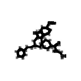 COc1ccc2c3c([nH]c2c1)CN(CCc1ccccc1)CC31CCN(C(=O)NCO)CC1